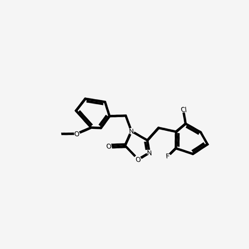 COc1cccc(Cn2c(Cc3c(F)cccc3Cl)noc2=O)c1